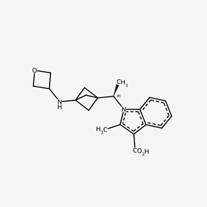 Cc1c(C(=O)O)c2ccccc2n1[C@H](C)C12CC(NC3COC3)(C1)C2